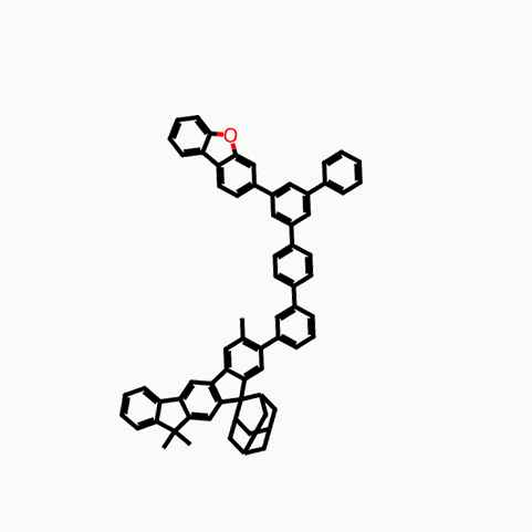 Cc1cc2c(cc1-c1cccc(-c3ccc(-c4cc(-c5ccccc5)cc(-c5ccc6c(c5)oc5ccccc56)c4)cc3)c1)C1(c3cc4c(cc3-2)-c2ccccc2C4(C)C)C2CC3CC(C2)CC1C3